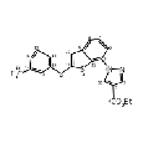 CCOC(=O)c1cnn(-c2cccc3cc(Cc4cccc(C(F)(F)F)c4)sc23)c1